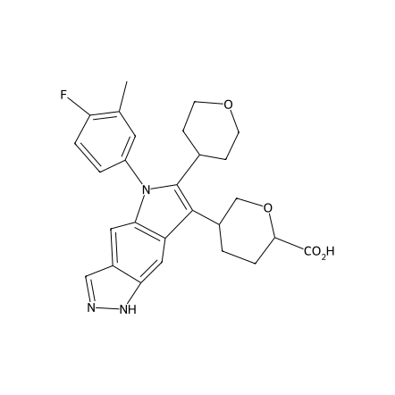 Cc1cc(-n2c(C3CCOCC3)c(C3CCC(C(=O)O)OC3)c3cc4[nH]ncc4cc32)ccc1F